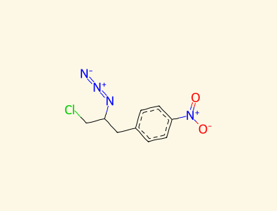 [N-]=[N+]=NC(CCl)Cc1ccc([N+](=O)[O-])cc1